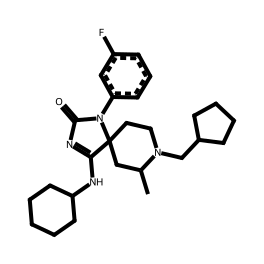 CC1CC2(CCN1CC1CCCC1)C(NC1CCCCC1)=NC(=O)N2c1cccc(F)c1